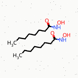 CCCCCCCC(=O)NO.CCCCCCCC(=O)NO